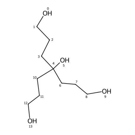 OCCCC(O)(CCCO)CCCO